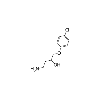 NCCC(O)COc1ccc(Cl)cc1